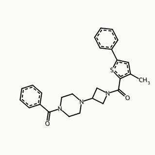 Cc1cc(-c2ccccc2)sc1C(=O)N1CC(N2CCN(C(=O)c3ccccc3)CC2)C1